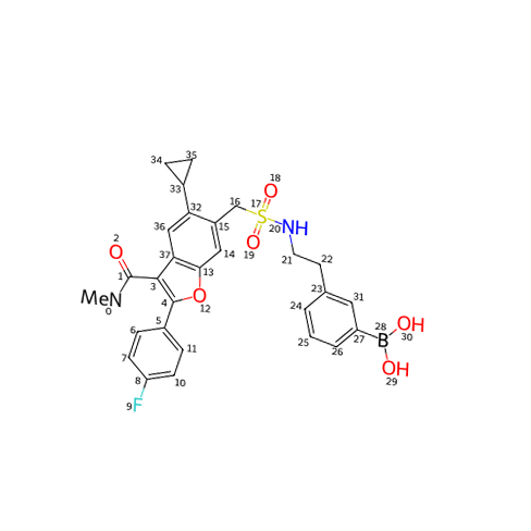 CNC(=O)c1c(-c2ccc(F)cc2)oc2cc(CS(=O)(=O)NCCc3cccc(B(O)O)c3)c(C3CC3)cc12